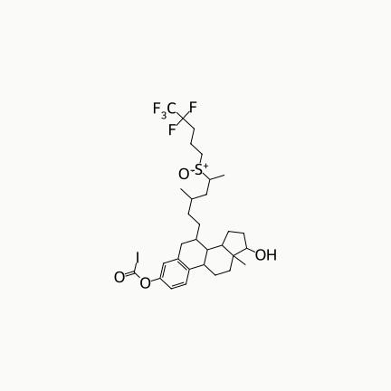 CC(CCC1Cc2cc(OC(=O)I)ccc2C2CCC3(C)C(O)CCC3C12)CC(C)[S+]([O-])CCCC(F)(F)C(F)(F)F